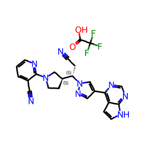 N#CC[C@@H]([C@H]1CCN(c2ncccc2C#N)C1)n1cc(-c2ncnc3[nH]ccc23)cn1.O=C(O)C(F)(F)F